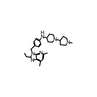 CCc1nc2c(C)cc(C)nc2n1Cc1ccc(NC2CCN(C3CCN(C)CC3)CC2)cc1